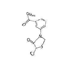 COC(=O)c1cccc(N2CSC(Cl)C2=O)c1